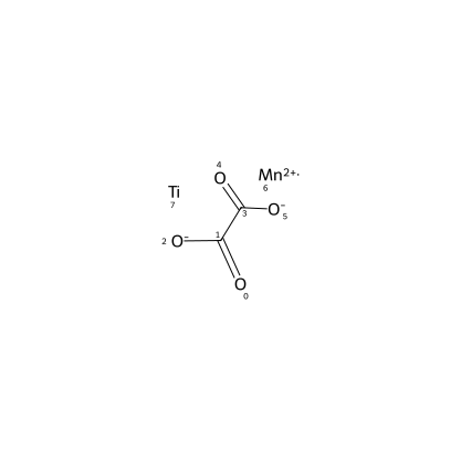 O=C([O-])C(=O)[O-].[Mn+2].[Ti]